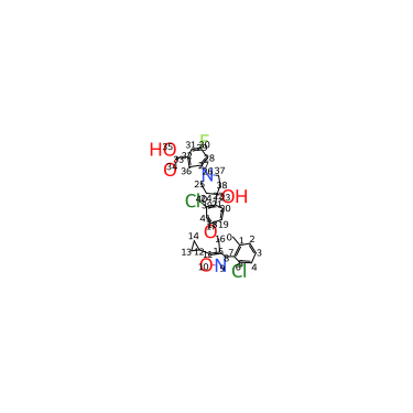 Cc1cccc(Cl)c1-c1noc(C2CC2)c1COc1ccc(C2(O)CCN(c3cc(F)cc(C(=O)O)c3)CC2)c(Cl)c1